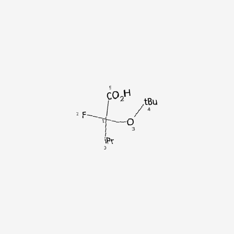 CC(C)C(F)(OC(C)(C)C)C(=O)O